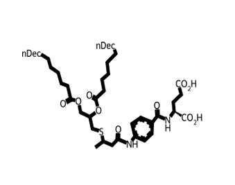 CCCCCCCCCCCCCCCC(=O)OCC(CSC(C)CC(=O)Nc1ccc(C(=O)N[C@@H](CCC(=O)O)C(=O)O)cc1)OC(=O)CCCCCCCCCCCCCCC